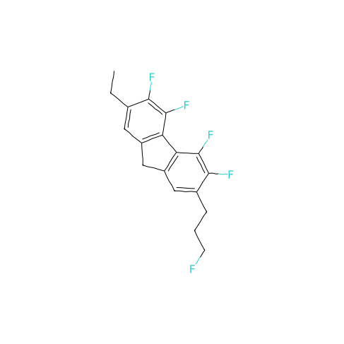 CCc1cc2c(c(F)c1F)-c1c(cc(CCCF)c(F)c1F)C2